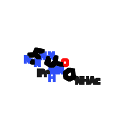 CC(=O)NC1CCC(NC(=O)c2cnc(-n3ccc4cncnc43)cc2NC(C)C)CC1